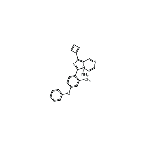 N[N+]12C=CN=CC1=C(C1=CC=C1)N=C2c1ccc(Oc2ccccc2)cc1C(F)(F)F